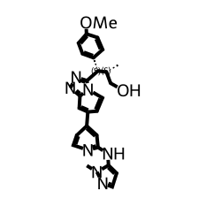 COc1ccc([C@@H](c2nnc3cc(-c4ccnc(Nc5ccnn5C)c4)ccn23)[C@H](C)CO)cc1